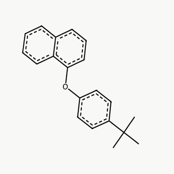 CC(C)(C)c1ccc(Oc2cccc3ccccc23)cc1